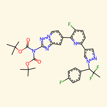 CC(C)(C)OC(=O)N(C(=O)OC(C)(C)C)c1nc2cc(-c3nc(-c4cnn(C(c5ccc(F)cc5)C(C)(F)F)c4)ccc3F)ccn2n1